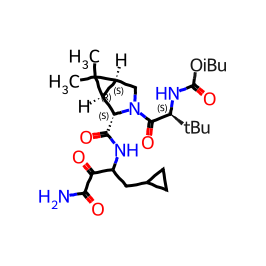 CC(C)COC(=O)N[C@H](C(=O)N1C[C@H]2[C@@H]([C@H]1C(=O)NC(CC1CC1)C(=O)C(N)=O)C2(C)C)C(C)(C)C